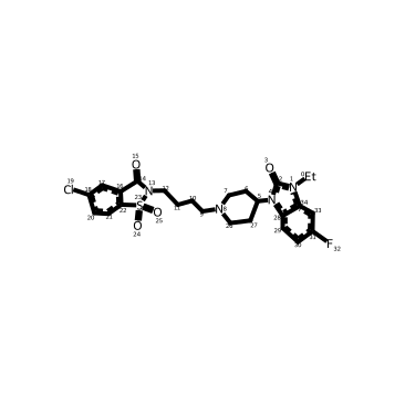 CCn1c(=O)n(C2CCN(CCCCN3C(=O)c4cc(Cl)ccc4S3(=O)=O)CC2)c2ccc(F)cc21